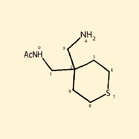 CC(=O)NCC1(CN)CCSCC1